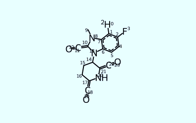 [2H]c1c(F)ccc2c1N(C)C(=C=O)N2C1CCC(=C=O)NC1=C=O